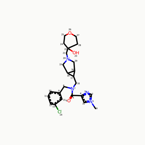 Cn1cnc(C(=O)N(Cc2cccc(Cl)c2)CC2C3CN(CC4(O)CCOCC4)CC32)c1